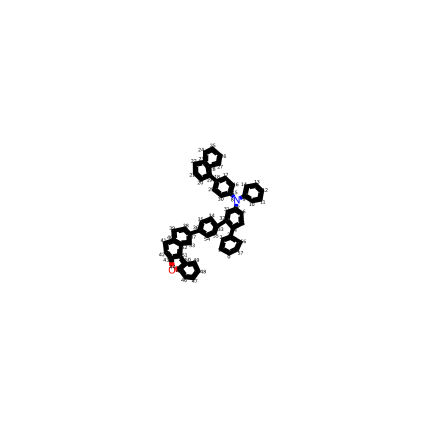 c1ccc(-c2ccc(N(c3ccccc3)c3ccc(-c4cccc5ccccc45)cc3)cc2-c2ccc(-c3ccc4ccc5oc6ccccc6c5c4c3)cc2)cc1